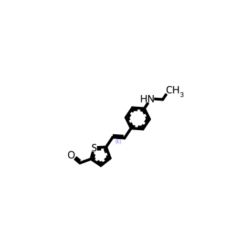 CCNc1ccc(/C=C/c2ccc(C=O)s2)cc1